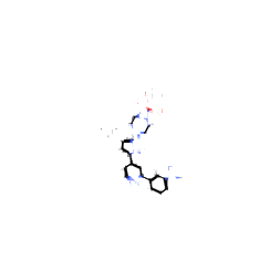 CN(C)c1cccc(-c2cc(-c3cc(C#N)c(N4CCN(C(=O)OC(C)(C)C)CC4)[nH]3)ccn2)c1